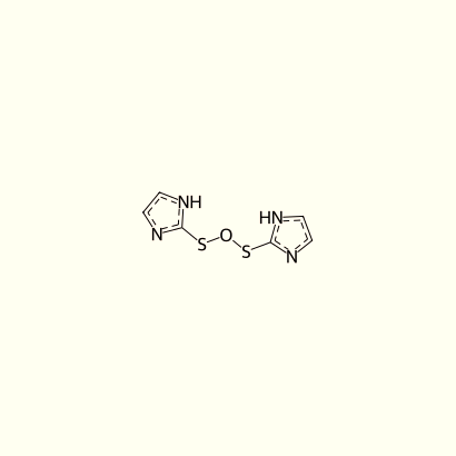 c1c[nH]c(SOSc2ncc[nH]2)n1